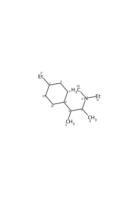 CCC1CCC(C(C)C(C)N(C)CC)CC1